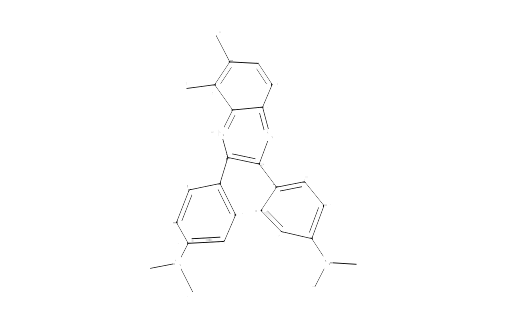 Cc1ccc2nc(-c3ccc(N(C)C)cc3)c(-c3ccc(N(C)C)cc3)nc2c1C